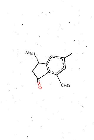 COC1CC(=O)c2c(C=O)cc(C)cc21